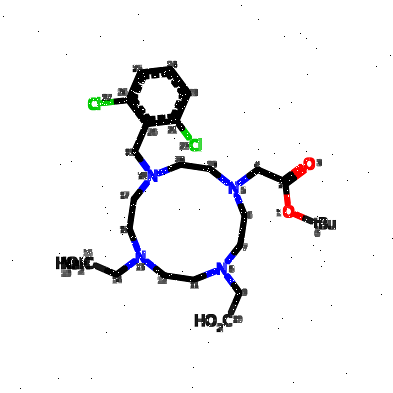 CC(C)(C)OC(=O)CN1CCN(CC(=O)O)CCN(CC(=O)O)CCN(Cc2c(Cl)cccc2Cl)CC1.[NaH]